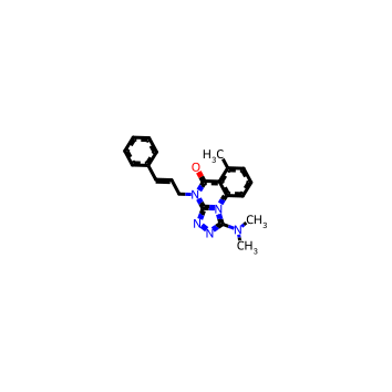 Cc1cccc2c1c(=O)n(CC=Cc1ccccc1)c1nnc(N(C)C)n21